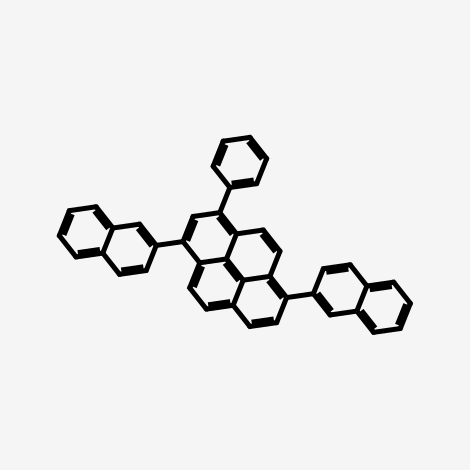 c1ccc(-c2cc(-c3ccc4ccccc4c3)c3ccc4ccc(-c5ccc6ccccc6c5)c5ccc2c3c45)cc1